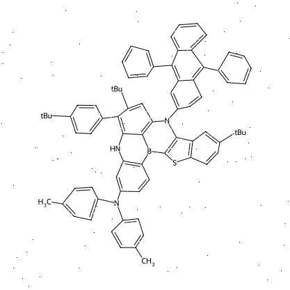 Cc1ccc(N(c2ccc(C)cc2)c2ccc3c(c2)Nc2c4c(cc(C(C)(C)C)c2-c2ccc(C(C)(C)C)cc2)N(c2ccc5c(-c6ccccc6)c6ccccc6c(-c6ccccc6)c5c2)c2c(sc5ccc(C(C)(C)C)cc25)B34)cc1